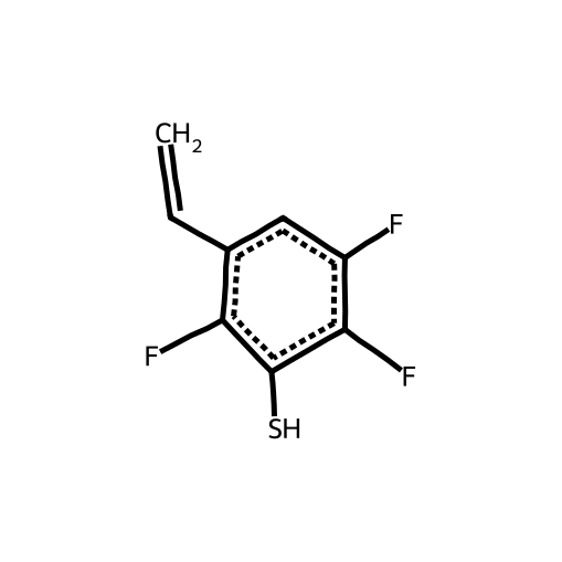 C=Cc1cc(F)c(F)c(S)c1F